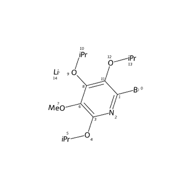 [B]c1nc(OC(C)C)c(OC)c(OC(C)C)c1OC(C)C.[Li]